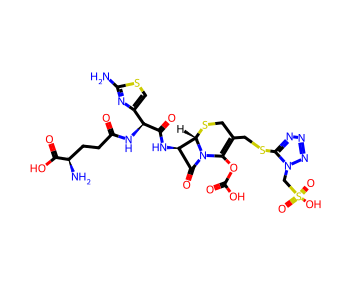 Nc1nc([C@H](NC(=O)CC[C@@H](N)C(=O)O)C(=O)N[C@@H]2C(=O)N3C(OC(=O)O)=C(CSc4nnnn4CS(=O)(=O)O)CS[C@@H]23)cs1